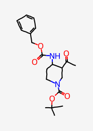 CC(=O)C1CN(C(=O)OC(C)(C)C)CCC1NC(=O)OCc1ccccc1